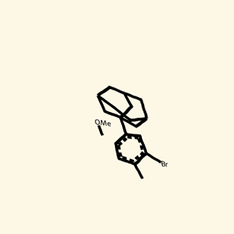 COC.Cc1ccc(C23CC4CC(CC(C4)C2)C3)cc1Br